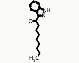 CCCCCCCCC(=O)c1n[nH]c2ccccc12